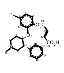 CN1CC[C@H](Oc2cccc(F)c2)[C@H](c2ccccc2)C1.O=C(O)C=CC(=O)O